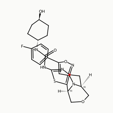 O=C(Nc1nc2c(s1)[C@@H]1COC[C@H](C2)N1c1cc(-c2ccc(F)cc2)on1)N[C@H]1CC[C@H](O)CC1